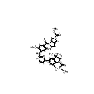 COc1cc(C(=O)N2CCC3CN(C(=O)OC(C)(C)C)CC32)c(Cl)cc1Nc1nccc(-c2cc(C#N)c3c(c2)C(C)(C)CN3C(=O)OC(C)(C)C)n1